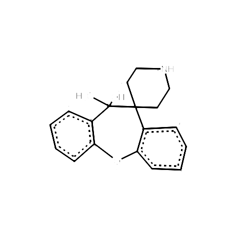 CC1(O)c2ccccc2Oc2ccccc2C12CCNCC2